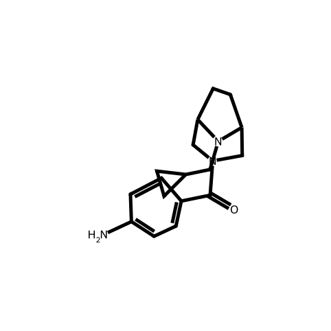 Nc1ccc(C(=O)N2CC3CCC(C2)N3CC2CC2)cc1